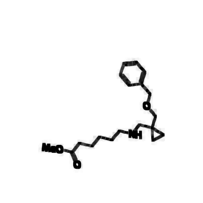 COC(=O)CCCCCNCC1(COCc2ccccc2)CC1